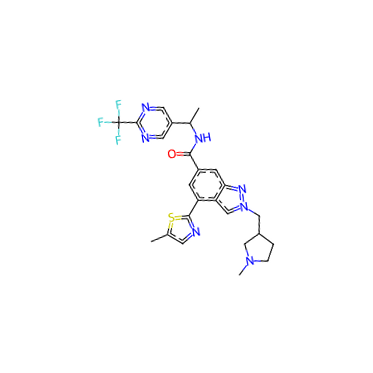 Cc1cnc(-c2cc(C(=O)NC(C)c3cnc(C(F)(F)F)nc3)cc3nn(CC4CCN(C)C4)cc23)s1